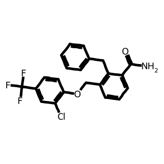 NC(=O)c1cccc(COc2ccc(C(F)(F)F)cc2Cl)c1Cc1ccccc1